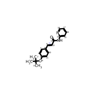 CC(C)(C)Oc1ccc(/C=C/C(=O)Nc2ccccn2)cc1